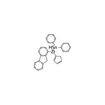 C1=CC[C]([Zr]([c]2cccc3c2Cc2ccccc2-3)[SnH]([c]2ccccc2)[c]2ccccc2)=C1